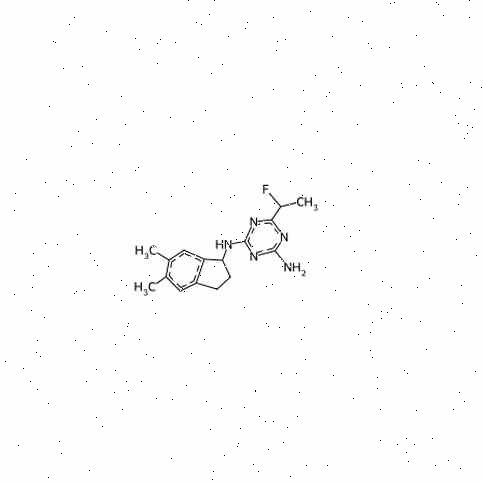 Cc1cc2c(cc1C)C(Nc1nc(N)nc(C(C)F)n1)CC2